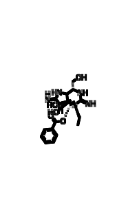 CC[C@@H]1[C@H](OC(=O)c2ccccc2)C(O)(O)C23NC(=N)NC2[C@H](CO)NC(=N)N13